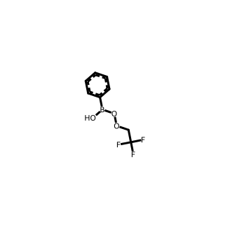 OB(OOCC(F)(F)F)c1ccccc1